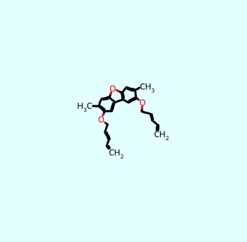 C=C/C=C/COc1cc2c(cc1C)oc1cc(C)c(OC/C=C/C=C)cc12